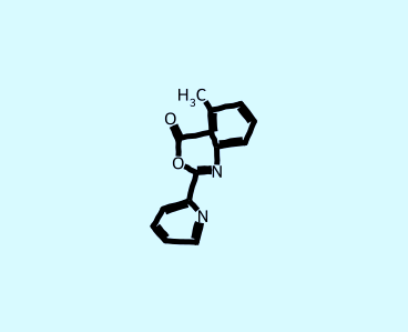 Cc1cccc2nc(-c3ccccn3)oc(=O)c12